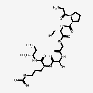 CC(C)C[C@H](NC(=O)[C@@H]1CCCN1C(=O)CN)C(=O)NCC(=O)N[C@H](C(=O)N[C@@H](CCCNC(=N)N)C(=O)N[C@@H](CC(=O)O)C(=O)O)C(C)C